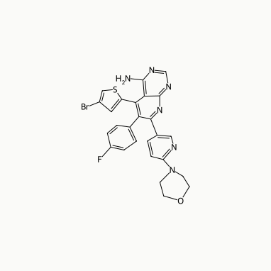 Nc1ncnc2nc(-c3ccc(N4CCOCC4)nc3)c(-c3ccc(F)cc3)c(-c3cc(Br)cs3)c12